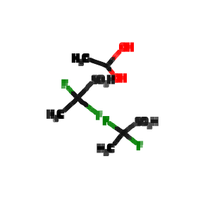 CC(F)(F)S(=O)(=O)O.CC(F)(F)S(=O)(=O)O.CC(O)O